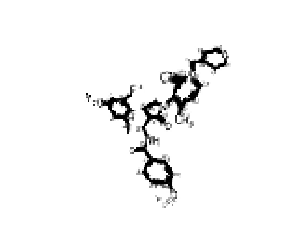 COc1cc(F)c([C@@H]2CN(c3c(C)ccn(CC4CCOCC4)c3=O)C(=O)C2CNC(=O)c2ccc(OC(F)(F)F)cc2)c(F)c1